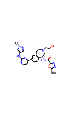 Cn1cc(Nc2nccc(-c3ccc4c(c3)CCN(CCO)C[C@@H]4NC(=O)c3nnc(C(C)(C)C)o3)n2)cn1